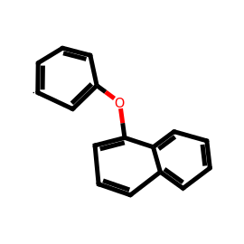 [c]1cccc(Oc2cccc3ccccc23)c1